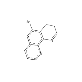 Brc1cc2cccnc2c2c1CCC=N2